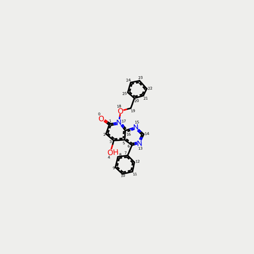 O=c1cc(O)c2c(-c3ccccc3)ncnc2n1OCc1ccccc1